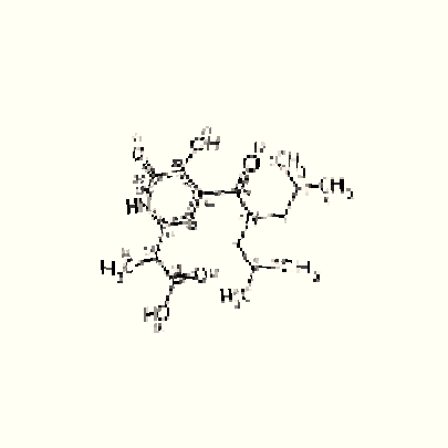 CC(C)CN(CC(C)C)C(=O)c1cc(C(C)C(=O)O)[nH]c(=O)c1O